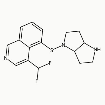 FC(F)c1cncc2cccc(SN3CCC4NCCC43)c12